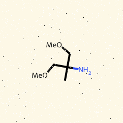 COCC(C)(N)COC